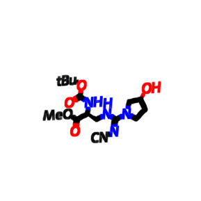 [C-]#[N+]/N=C(\NC[C@H](NC(=O)OC(C)(C)C)C(=O)OC)N1CC[C@H](O)C1